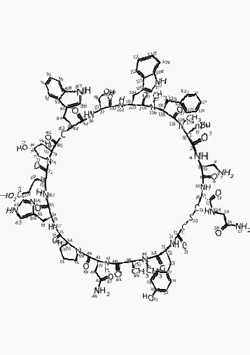 CCCC[C@H]1C(=O)N[C@@H](CN)C(=O)N[C@H](C(=O)NCC(N)=O)CSCC(=O)N[C@@H](Cc2ccc(O)cc2)C(=O)N(C)[C@@H](C)C(=O)N[C@@H](CC(N)=O)C(=O)N2CCC[C@H]2C(=O)N[C@@H](Cc2c[nH]cn2)C(=O)N[C@@H](CCC(=O)O)C(=O)N2C[C@H](O)C[C@H]2C(=O)C[C@@H](Cc2c[nH]c3ccccc23)C(=O)N[C@@H](CO)C(=O)N[C@@H](Cc2c[nH]c3ccccc23)C(=O)N(C)[C@@H](Cc2ccccc2)C(=O)N1C